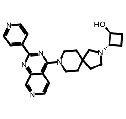 O[C@H]1CC[C@@H]1N1CCC2(CCN(c3nc(-c4ccncc4)nc4cnccc34)CC2)C1